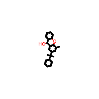 Cc1cc(C(C)(C)c2ccccc2)cc2c1Oc1ccccc1C2O